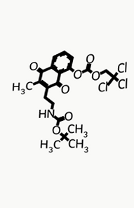 CC1=C(CCNC(=O)OC(C)(C)C)C(=O)c2c(OC(=O)OCC(Cl)(Cl)Cl)cccc2C1=O